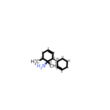 CC1CC=CC([C@@H]2C=CCCC2)C1(C)N